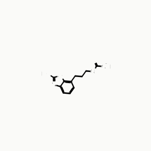 CCNC(=O)NCCCc1cccc2nc(C)oc12